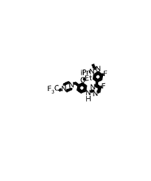 CCOc1cc(Nc2ncc(F)c(-c3cc(F)c4nc(C)n(C(C)C)c4c3)n2)ccc1CN1CCN(CC(F)(F)F)CC1